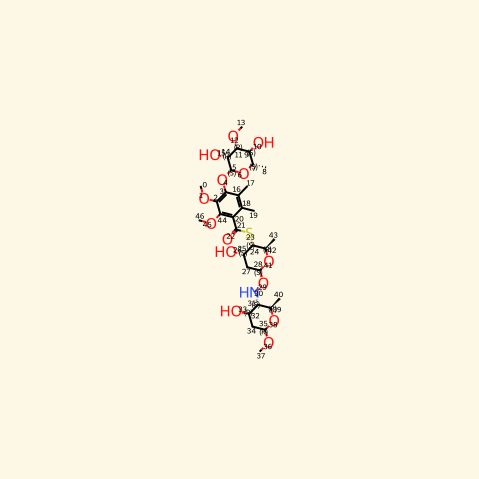 COc1c(O[C@@H]2O[C@@H](C)[C@H](O)[C@@H](OC)[C@H]2O)c(C)c(C)c(C(=O)S[C@H]2[C@@H](O)C[C@H](ON[C@H]3[C@H](O)C[C@H](OC)O[C@@H]3C)O[C@@H]2C)c1OC